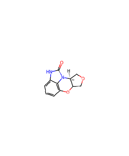 O=c1[nH]c2cccc3c2n1[C@H]1COCC1O3